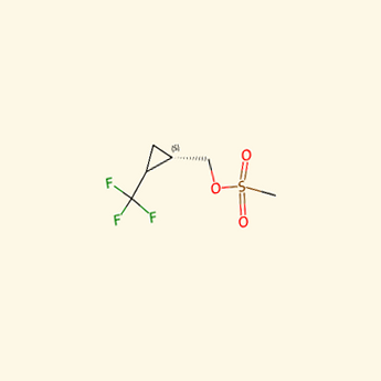 CS(=O)(=O)OC[C@H]1CC1C(F)(F)F